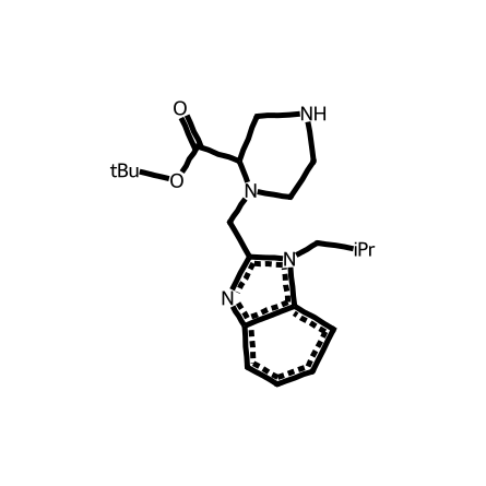 CC(C)Cn1c(CN2CCNCC2C(=O)OC(C)(C)C)nc2ccccc21